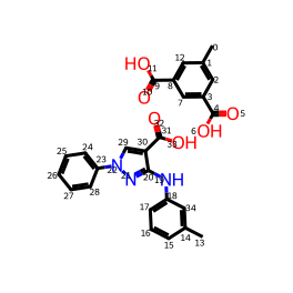 Cc1cc(C(=O)O)cc(C(=O)O)c1.Cc1cccc(Nc2nn(-c3ccccc3)cc2C(=O)O)c1